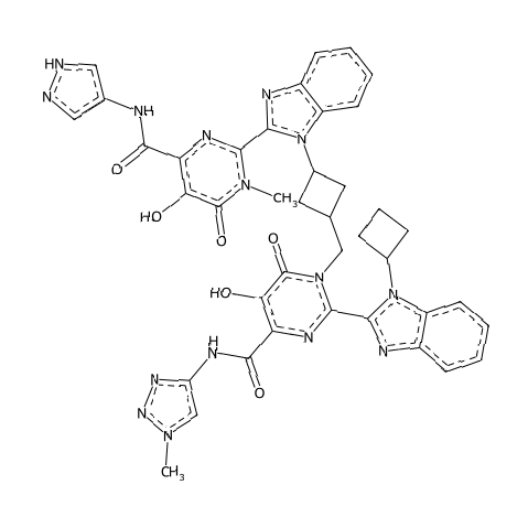 Cn1cc(NC(=O)c2nc(-c3nc4ccccc4n3C3CCC3)n(CC3CC(n4c(-c5nc(C(=O)Nc6cn[nH]c6)c(O)c(=O)n5C)nc5ccccc54)C3)c(=O)c2O)nn1